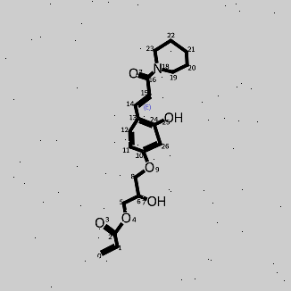 C=CC(=O)OCC(O)COc1ccc(/C=C/C(=O)N2CCCCC2)c(O)c1